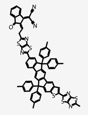 Cc1ccc(C2(c3ccc(C)cc3)c3cc(-c4nc5sc(C/C=C6\C(=O)c7ccccc7C6=C(C#N)C#N)nc5s4)ccc3-c3cc4c(cc32)-c2cc3cc(-c5nc6sc(C)nc6s5)sc3cc2C4(c2ccc(C)cc2)c2ccc(C)cc2)cc1